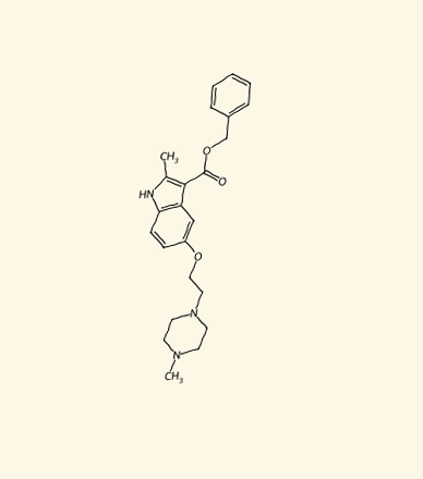 Cc1[nH]c2ccc(OCCN3CCN(C)CC3)cc2c1C(=O)OCc1ccccc1